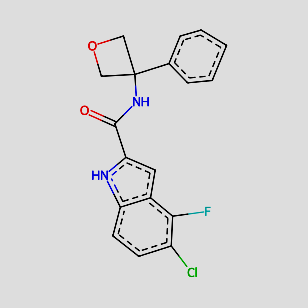 O=C(NC1(c2ccccc2)COC1)c1cc2c(F)c(Cl)ccc2[nH]1